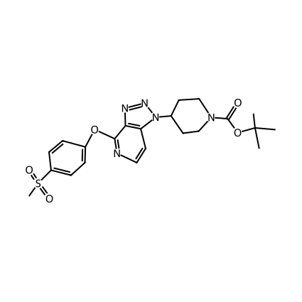 CC(C)(C)OC(=O)N1CCC(n2nnc3c(Oc4ccc(S(C)(=O)=O)cc4)nccc32)CC1